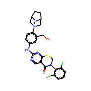 CN1C2CCC1CN(c1ccc(Nc3ncc4c(n3)SCN(c3c(Cl)cccc3Cl)C4=O)cc1CO)C2